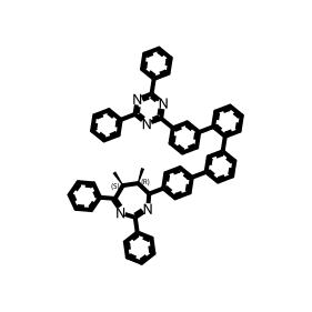 C[C@@H]1C(c2ccccc2)=NC(c2ccccc2)=NC(c2ccc(-c3cccc(-c4ccccc4-c4cccc(-c5nc(-c6ccccc6)nc(-c6ccccc6)n5)c4)c3)cc2)[C@@H]1C